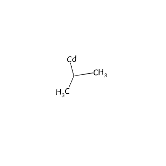 C[CH](C)[Cd]